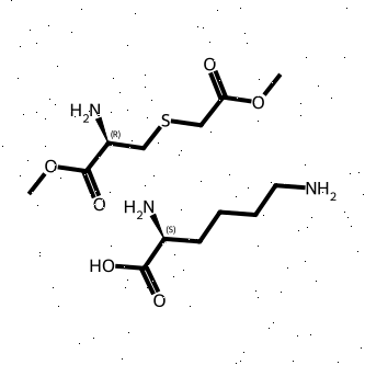 COC(=O)CSC[C@H](N)C(=O)OC.NCCCC[C@H](N)C(=O)O